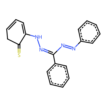 S=C1CC=CC=C1NN=C(N=Nc1ccccc1)c1ccccc1